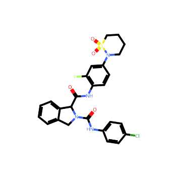 O=C(Nc1ccc(N2CCCCS2(=O)=O)cc1F)C1c2ccccc2CN1C(=O)Nc1ccc(Cl)cc1